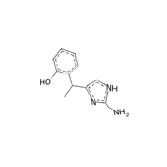 CC(c1c[nH]c(N)n1)c1ccccc1O